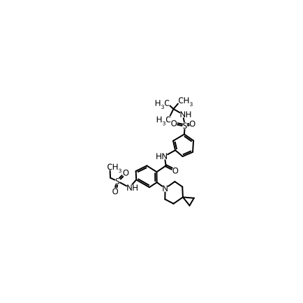 CCS(=O)(=O)Nc1ccc(C(=O)Nc2cccc(S(=O)(=O)NC(C)(C)C)c2)c(N2CCC3(CC2)CC3)c1